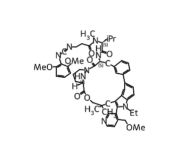 CCn1c(-c2cnccc2COC)c2c3cc(ccc31)-c1cccc(c1)C[C@H](NC(=O)[C@H](C(C)C)N(C)C(=O)CCN=C=Nc1c(OC)cccc1OC)C(=O)N1CCC[C@H](N1)C(=O)OCC(C)(C)C2